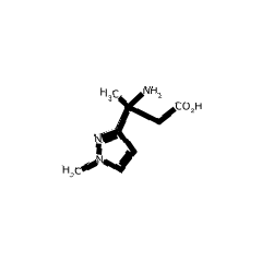 Cn1ccc(C(C)(N)CC(=O)O)n1